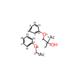 CC(=O)C(C)(O)COc1ccccc1.CC(=O)COc1ccccc1